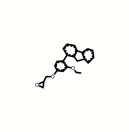 CCOc1cc(OCC2CO2)ccc1-c1cccc2c1Cc1ccccc1-2